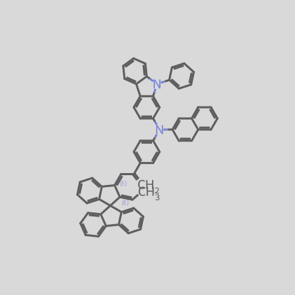 C=C(/C=C1\C(=C/C)C2(c3ccccc31)c1ccccc1-c1ccccc12)c1ccc(N(c2ccc3ccccc3c2)c2ccc3c4ccccc4n(-c4ccccc4)c3c2)cc1